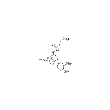 COc1ccc([C@@]23CCC(=NNC(=O)CCC(=O)O)C[C@@H]2N(C)CC3)cc1OC